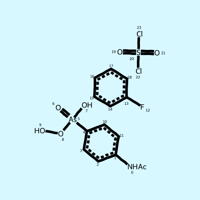 CC(=O)Nc1ccc([As](=O)(O)OO)cc1.Fc1ccccc1.O=S(=O)(Cl)Cl